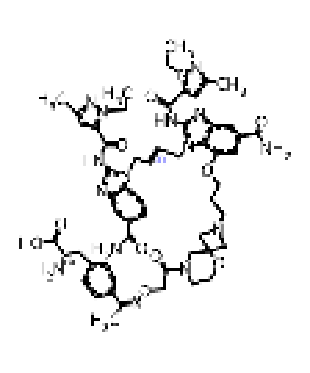 CCn1nc(C)cc1C(=O)Nc1nc2cc(C(N)=O)ccc2n1C/C=C/Cn1c(NC(=O)c2cc(C)nn2CC)nc2cc(C(N)=O)cc(OCCCN3CC4(C3)CN(C(=O)CON=C(C)c3ccc(C[C@H](N)C(=O)O)cc3)CCO4)c21